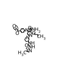 CCCOc1nc(N2CCCC(NC(=O)Nc3ncc(C)s3)C2)cc(Nc2ccc(C(=O)N3CCOCC3)cc2)c1C(N)=O